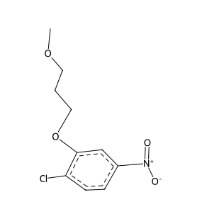 COCCCOc1cc([N+](=O)[O-])ccc1Cl